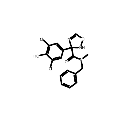 CN(Cc1ccccc1)C(=O)C1(c2cc(Cl)c(O)c(Cl)c2)N=CON1